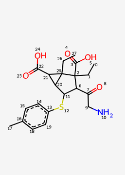 CCC1(C(=O)O)C(C(=O)CN)C(Sc2ccc(C)cc2)C2C(C(=O)O)C21CC